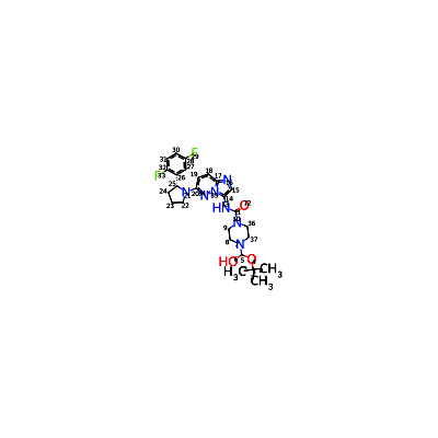 CC(C)(C)OC(O)N1CCN(C(=O)Nc2cnc3ccc(N4CCC[C@@H]4c4cc(F)ccc4F)nn23)CC1